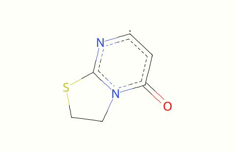 O=c1c[c]nc2n1CCS2